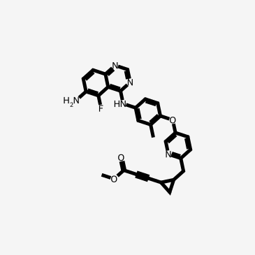 COC(=O)C#CC1CC1Cc1ccc(Oc2ccc(Nc3ncnc4ccc(N)c(F)c34)cc2C)cn1